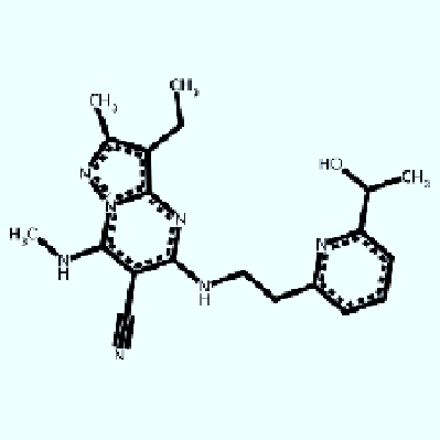 CCc1c(C)nn2c(NC)c(C#N)c(NCCc3cccc(C(C)O)n3)nc12